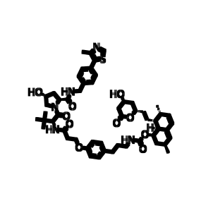 Cc1ncsc1-c1ccc(CNC(=O)[C@@H]2C[C@@H](O)CN2C(=O)[C@@H](NC(=O)CCOc2ccc(CCCNC(=O)O[C@@H]3C[C@H](C)C=C4C=C[C@@H](C)[C@@H](CC[C@H]5C[C@H](O)CC(=O)O5)[C@@H]43)cc2)C(C)(C)C)cc1